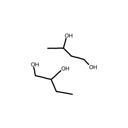 CC(O)CCO.CCC(O)CO